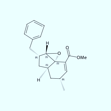 COC(=O)C1=C[C@H](C)C[C@H]2C[C@H](Cc3ccccc3)[C@@H]3O[C@]123